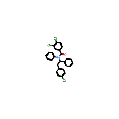 O=C(c1ccc(Cl)c(Cl)c1)N(c1ccccc1)C(Cc1ccc(Cl)cc1)c1ccccc1